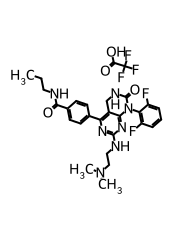 CCCNC(=O)c1ccc(-c2nc(NCCN(C)C)nc3c2CNC(=O)N3c2c(F)cccc2F)cc1.O=C(O)C(F)(F)F